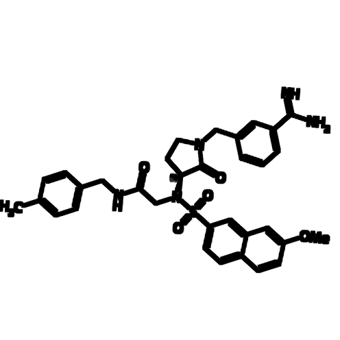 COc1ccc2ccc(S(=O)(=O)N(CC(=O)NCc3ccc(C)cc3)[C@H]3CCN(Cc4cccc(C(=N)N)c4)C3=O)cc2c1